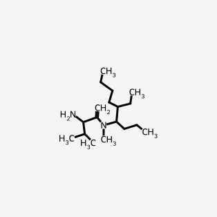 C=C(C(N)C(C)C)N(C)C(CCC)C(CC)CCCC